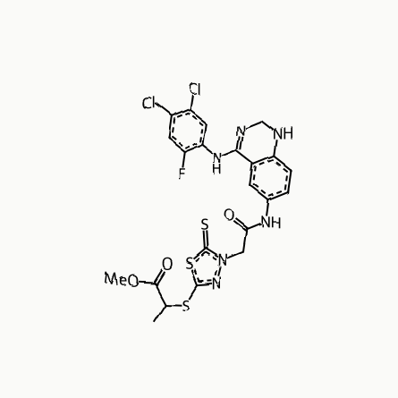 COC(=O)C(C)Sc1nn(CC(=O)Nc2ccc3c(c2)C(Nc2cc(Cl)c(Cl)cc2F)=NCN3)c(=S)s1